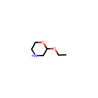 CCOC1CNCCO1